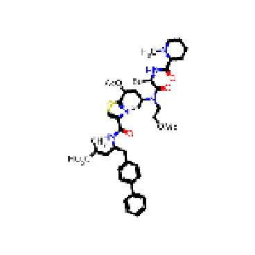 CCC(C)C(NC(=O)C1CCCCN1C)C(=O)N(CCOC)C(CC(OC(C)=O)c1nc(C(=O)NC(Cc2ccc(-c3ccccc3)cc2)CC(C)C(=O)O)cs1)C(C)C